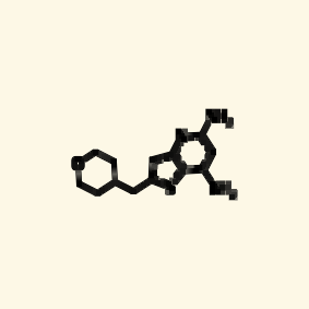 Nc1cc(N)c2sc(CC3CCOCC3)cc2n1